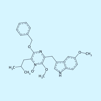 COc1ccc2[nH]cc(Cc3nc(OCc4ccccc4)c(CC(C)C)[n+]([O-])c3OC)c2c1